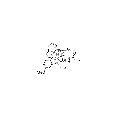 CC[C@]12C=CCN3CC[C@@]4(c5ccc(OC)cc5N(C)[C@H]4C(O)(CNC(=O)C(C)C)[C@@H]1OC(C)=O)[C@@H]32